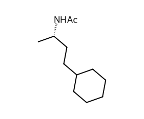 CC(=O)N[C@@H](C)CCC1CCCCC1